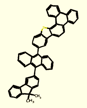 CC1(C)c2ccccc2-c2cc(-c3c4ccccc4c(-c4ccc5sc6c(ccc7c8ccccc8c8ccccc8c76)c5c4)c4ccccc34)ccc21